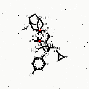 CC(C)(Oc1ccc(Cl)cc1)C(=O)N[C@H]1C[C@H]2CC[C@@H](C1)N2c1ncc(C(=O)NC2CC2)cn1